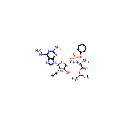 C#C[C@H]1[C@H](O)[C@@H](COP(=O)(N[C@H](C)C(=O)OC(C)C)Oc2ccccc2)O[C@H]1n1cnc2c(NC)nc(N)nc21